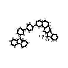 CC1(C)c2ccccc2-c2cc3ccc4ccc(-c5ccc(-c6cccc(-n7c8ccccc8c8ccccc87)c6)cc5)cc4c3cc21